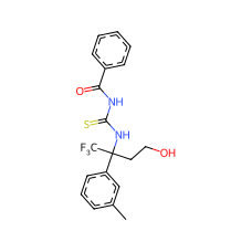 Cc1cccc(C(CCO)(NC(=S)NC(=O)c2ccccc2)C(F)(F)F)c1